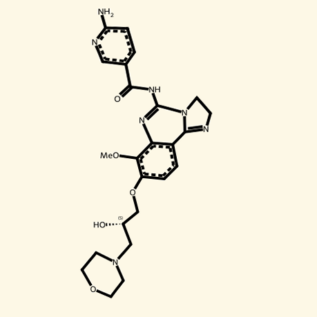 COc1c(OC[C@@H](O)CN2CCOCC2)ccc2c1N=C(NC(=O)c1ccc(N)nc1)N1CCN=C21